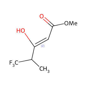 COC(=O)/C=C(\O)C(C)C(F)(F)F